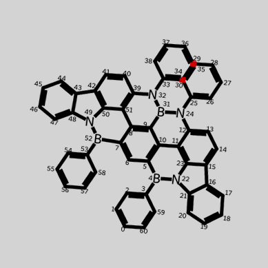 c1ccc(B2c3cc4c5c6c3-c3c(ccc7c8ccccc8n2c37)N(c2ccccc2)B6N(c2ccccc2)c2ccc3c6ccccc6n(c3c2-5)B4c2ccccc2)cc1